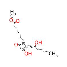 CCCCC[C@H](O)C=C[C@H]1[C@H](CCCCCCC(=O)OC)C(=O)C[C@@H]1O